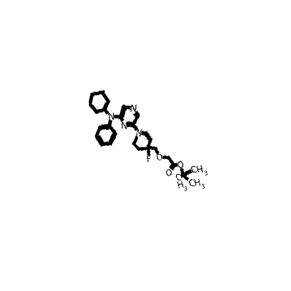 CC(C)(C)OC(=O)COCC1(F)CCN(c2cncc(N(c3ccccc3)C3CCCCC3)n2)CC1